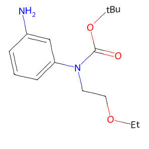 CCOCCN(C(=O)OC(C)(C)C)c1cccc(N)c1